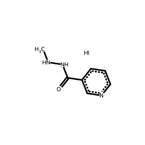 CNNC(=O)c1cccnc1.I